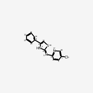 Clc1ccc(N=c2[nH]c(-c3ccccc3)cs2)nc1